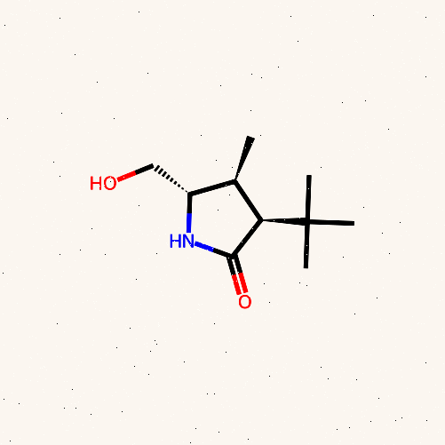 C[C@@H]1[C@@H](CO)NC(=O)[C@@H]1C(C)(C)C